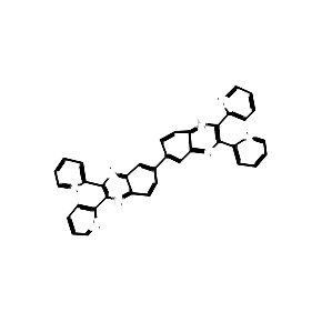 c1ccc(-c2nc3ccc(-c4ccc5nc(-c6ccccn6)c(-c6ccccn6)nc5c4)cc3nc2-c2ccccn2)nc1